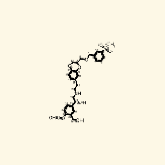 CS(=O)(=O)c1cccc(COC[C@@H]2COc3ccc(CCNC[C@H](O)c4ccc(OC=O)c(CO)c4)cc3O2)c1